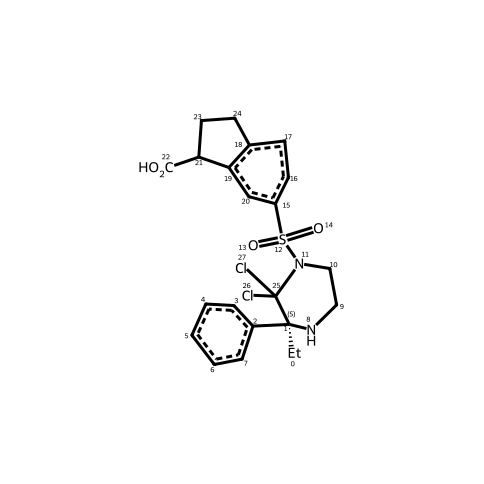 CC[C@@]1(c2ccccc2)NCCN(S(=O)(=O)c2ccc3c(c2)C(C(=O)O)CC3)C1(Cl)Cl